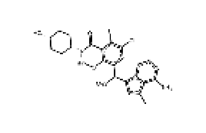 CSC(c1cc(Cl)c(F)c(C(=O)N[C@H]2CC[C@@H](O)CC2)c1OC(C)C)c1nc(C)c2c(N)nccn12